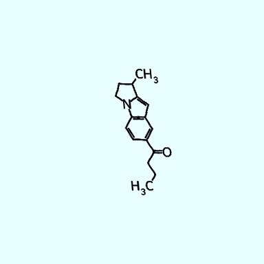 CCCC(=O)c1ccc2c(c1)cc1n2CCC1C